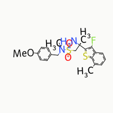 COc1ccc(CN(C)S(=O)(=O)C[C@](C)(N)c2sc3c(C)cccc3c2F)cc1